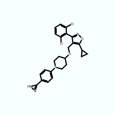 Clc1cccc(Cl)c1-c1noc(C2CC2)c1COC1CCN(c2ccc(C3=NN3)cc2)CC1